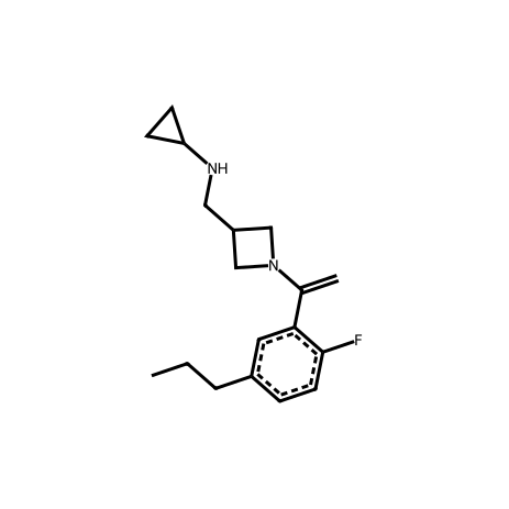 C=C(c1cc(CCC)ccc1F)N1CC(CNC2CC2)C1